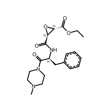 CCOC(=O)[C@H]1O[C@@H]1C(=O)N[C@@H](Cc1ccccc1)C(=O)N1CCN(C)CC1